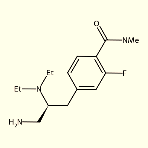 CCN(CC)[C@H](CN)Cc1ccc(C(=O)NC)c(F)c1